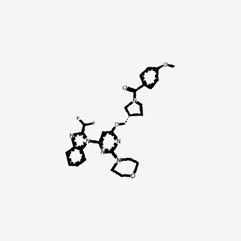 COc1ccc(C(=O)N2CC[C@H](COc3cc(-n4c(C(F)F)nc5ccccc54)nc(N4CCOCC4)n3)C2)cc1